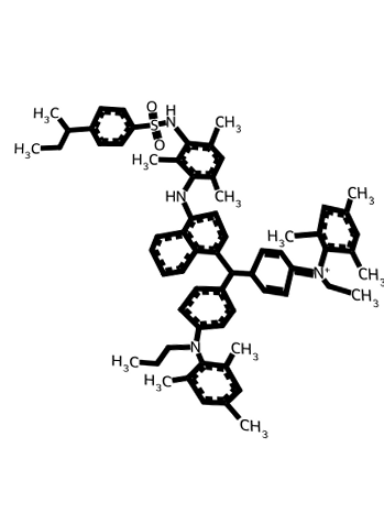 CCCN(c1ccc(C(c2ccc(Nc3c(C)cc(C)c(NS(=O)(=O)c4ccc(C(C)CC)cc4)c3C)c3ccccc23)C2C=CC(=[N+](CC)c3c(C)cc(C)cc3C)C=C2)cc1)c1c(C)cc(C)cc1C